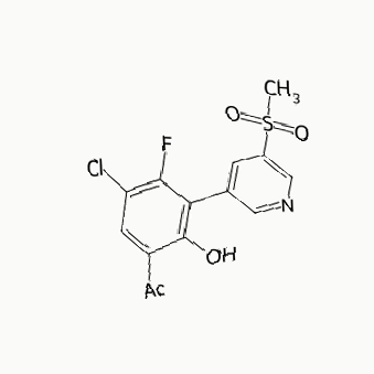 CC(=O)c1cc(Cl)c(F)c(-c2cncc(S(C)(=O)=O)c2)c1O